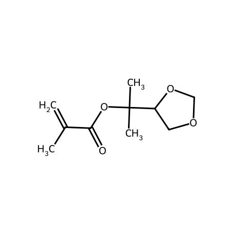 C=C(C)C(=O)OC(C)(C)C1COCO1